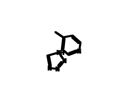 Cc1ccncc1.c1nnn[nH]1